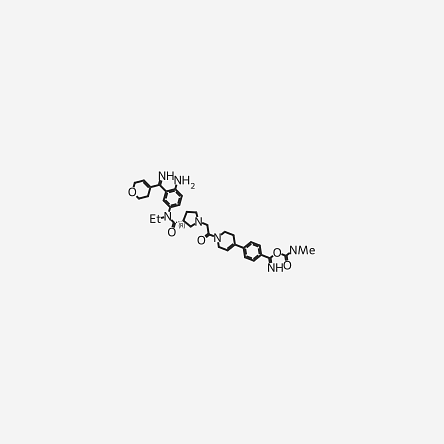 CCN(C(=O)[C@@H]1CCN(CC(=O)N2CC=C(c3ccc(C(=N)OC(=O)NC)cc3)CC2)C1)c1ccc(N)c(C(=N)C2=CCOCC2)c1